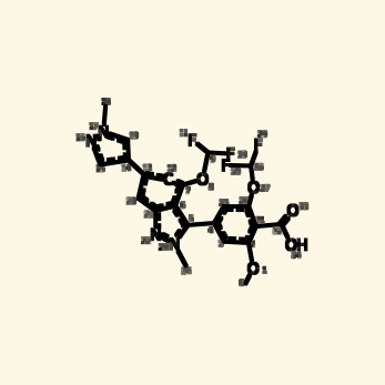 COc1cc(-c2c3c(OC(F)F)cc(-c4cnn(C)c4)cc3nn2C)cc(OC(F)F)c1C(=O)O